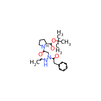 C=CNN(CC(=O)N1CCC[C@H]1C(=O)OC(C)(C)C)C(=O)Cc1ccccc1